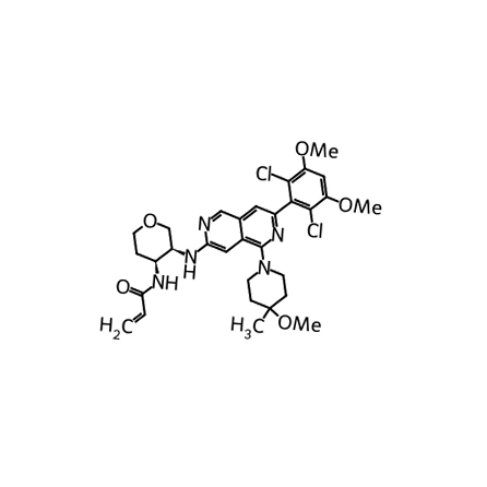 C=CC(=O)N[C@H]1CCOC[C@H]1Nc1cc2c(N3CCC(C)(OC)CC3)nc(-c3c(Cl)c(OC)cc(OC)c3Cl)cc2cn1